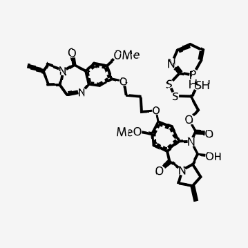 C=C1CC2C=Nc3cc(OCCCOc4cc5c(cc4OC)C(=O)N4CC(=C)CC4C(O)N5C(=O)OCC(S)SSC4=NC=CC=CP4)c(OC)cc3C(=O)N2C1